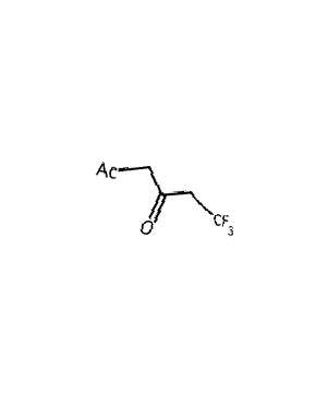 CC(=O)CC(=O)CC(F)(F)F